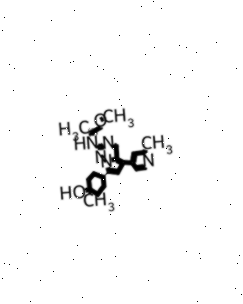 COC[C@H](C)Nc1ncc2c(-c3ccnc(C)c3)cc([C@H]3CC[C@@](C)(O)CC3)n2n1